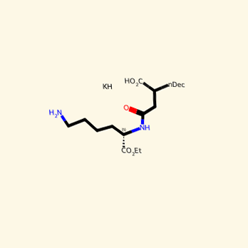 CCCCCCCCCCC(CC(=O)N[C@@H](CCCCN)C(=O)OCC)C(=O)O.[KH]